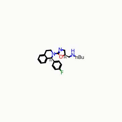 CCCCNC[C@@H]1CN=C(N2CCc3ccccc3[C@@H]2c2ccc(F)cc2)O1